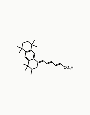 CC1CC(=CC=CC=CC(=O)O)c2cc3c(cc2C1(C)C)C(C)(C)CCC3(C)C